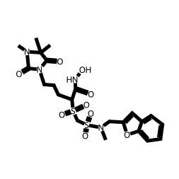 CN1C(=O)N(CCCC(C(=O)NO)S(=O)(=O)CS(=O)(=O)N(C)Cc2cc3ccccc3o2)C(=O)C1(C)C